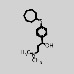 CN(C)CCC(O)c1ccc(SC2CCCCCC2)cc1